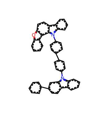 c1ccc(-c2ccc3c4ccccc4n(-c4ccc(-c5ccc(-n6c7ccccc7c7ccc8oc9ccccc9c8c76)cc5)cc4)c3c2)cc1